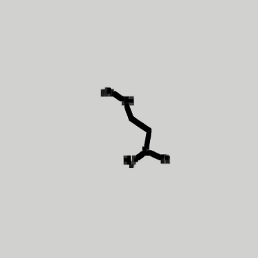 CCCNCCN(P)CC